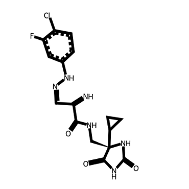 N=C(/C=N\Nc1ccc(Cl)c(F)c1)C(=O)NC[C@@]1(C2CC2)NC(=O)NC1=O